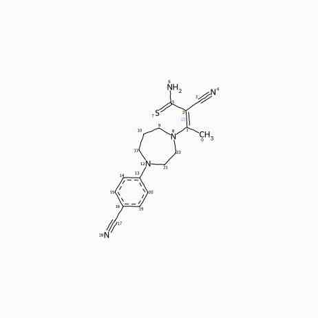 C/C(=C(\C#N)C(N)=S)N1CCCN(c2ccc(C#N)cc2)CC1